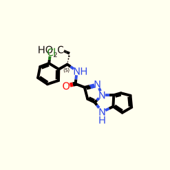 O=C(O)C[C@H](NC(=O)c1cc2[nH]c3ccccc3n2n1)c1ccccc1Cl